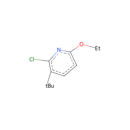 CCOc1ccc(C(C)(C)C)c(Cl)n1